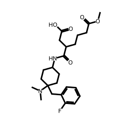 COC(=O)CCCC(CC(=O)O)C(=O)NC1CCC(Cc2ccccc2F)(N(C)C)CC1